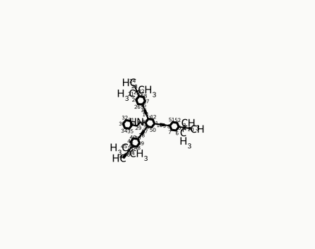 C#CC(C)(C)c1ccc(C#Cc2cc(C#Cc3ccc(C(C)(C)C#C)cc3)c(NCc3ccccc3)c(C#Cc3ccc(C(C)(C)C#C)cc3)c2)cc1